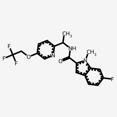 CC(NC(=O)c1cc2ccc(F)cc2n1C)c1ccc(OCC(F)(F)F)cn1